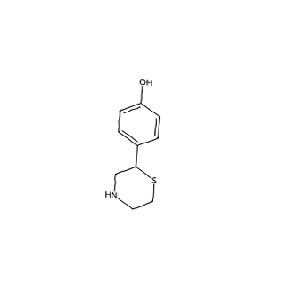 Oc1ccc(C2CNCCS2)cc1